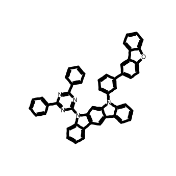 c1ccc(-c2nc(-c3ccccc3)nc(-n3c4ccccc4c4cc5c6ccccc6n(-c6cccc(-c7ccc8oc9ccccc9c8c7)c6)c5cc43)n2)cc1